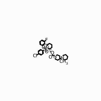 CC1(N2CCCCC2)CCN(C(=O)OC[C@H]2CCC[C@@H](c3ccccc3F)N2S(=O)(=O)c2ccc(Cl)cc2)CC1